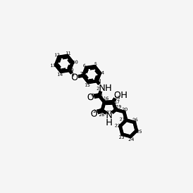 O=C(Nc1cccc(Oc2ccccc2)c1)C1=C(O)C(CC2CCCCC2)NC1=O